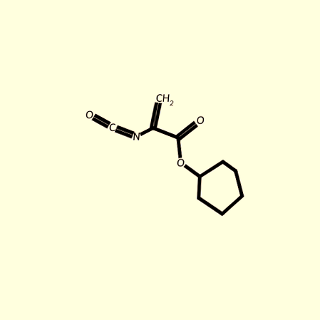 C=C(N=C=O)C(=O)OC1CCCCC1